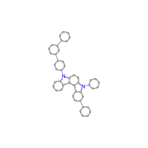 c1ccc(-c2cccc(-c3ccc(-n4c5ccccc5c5c6c7ccc(-c8ccccc8)cc7n(-c7ccccc7)c6ccc54)cc3)c2)cc1